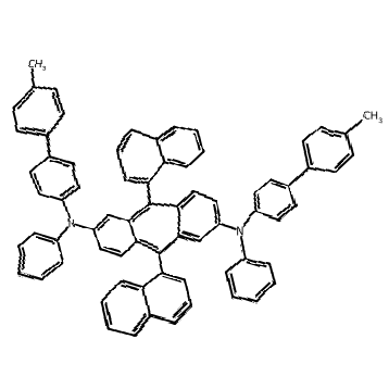 Cc1ccc(-c2ccc(N(c3ccccc3)c3ccc4c(-c5cccc6ccccc56)c5cc(N(c6ccccc6)c6ccc(-c7ccc(C)cc7)cc6)ccc5c(-c5cccc6ccccc56)c4c3)cc2)cc1